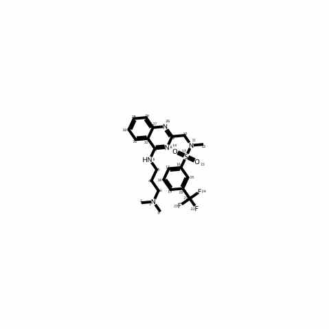 CN(C)CCCNc1nc(CN(C)S(=O)(=O)c2cccc(C(F)(F)F)c2)nc2ccccc12